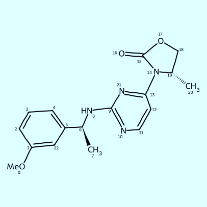 COc1cccc([C@H](C)Nc2nccc(N3C(=O)OC[C@@H]3C)n2)c1